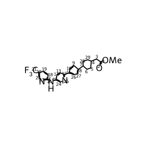 COC(=O)CC1CCC(c2ccc(-c3ccc(Nc4ccc(C(F)(F)F)cn4)cn3)cc2)CC1